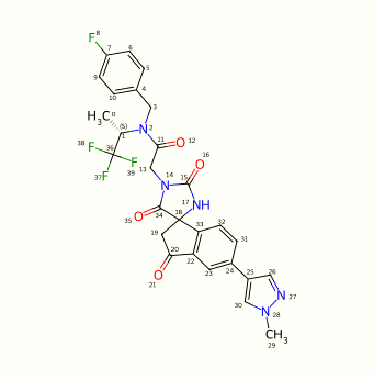 C[C@H](N(Cc1ccc(F)cc1)C(=O)CN1C(=O)NC2(CC(=O)c3cc(-c4cnn(C)c4)ccc32)C1=O)C(F)(F)F